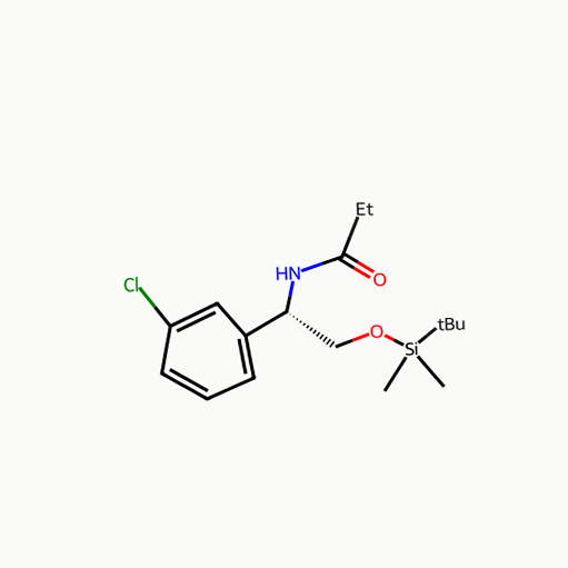 CCC(=O)N[C@H](CO[Si](C)(C)C(C)(C)C)c1cccc(Cl)c1